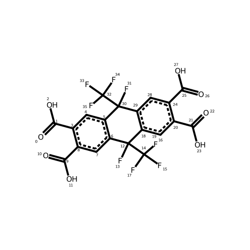 O=C(O)c1cc2c(cc1C(=O)O)C(F)(C(F)(F)F)c1cc(C(=O)O)c(C(=O)O)cc1C2(F)C(F)(F)F